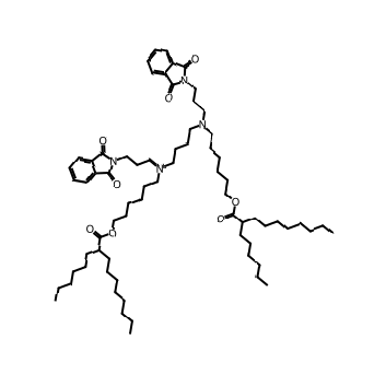 CCCCCCCCC(CCCCCC)C(=O)OCCCCCCN(CCCCN(CCCCCCOC(=O)C(CCCCCC)CCCCCCCC)CCCN1C(=O)c2ccccc2C1=O)CCCN1C(=O)c2ccccc2C1=O